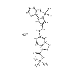 CC(C)(C)OC(=O)N1CCc2cc(OCc3cc(-c4ccccc4)c(C(F)(F)F)s3)ccc21.Cl